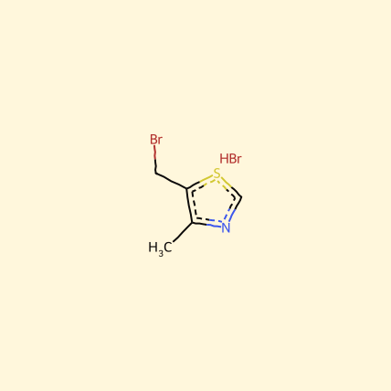 Br.Cc1ncsc1CBr